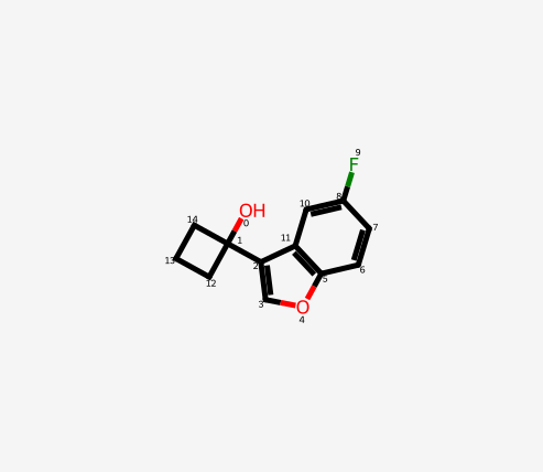 OC1(c2coc3ccc(F)cc23)CCC1